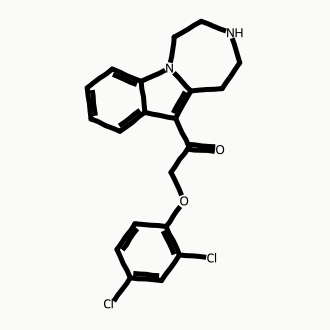 O=C(COc1ccc(Cl)cc1Cl)c1c2n(c3ccccc13)CCNCC2